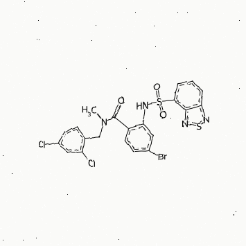 CN(Cc1ccc(Cl)cc1Cl)C(=O)c1ccc(Br)cc1NS(=O)(=O)c1cccc2nsnc12